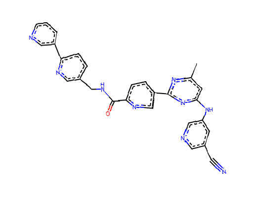 Cc1cc(Nc2cncc(C#N)c2)nc(-c2ccc(C(=O)NCc3ccc(-c4cccnc4)nc3)nc2)n1